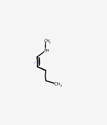 CCC/C=[C]\NC